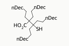 CCCCCCCCCCCCC(S)(CCCCCCCCCCCC)C(CCCCCCCCCCCC)(CCCCCCCCCCCC)C(=O)O